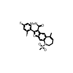 CNC(=O)c1c(-c2ccc(F)cc2F)oc2cc3c(cc12)C(C)=CCCN3S(C)(=O)=O